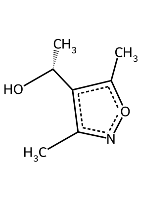 Cc1noc(C)c1[C@@H](C)O